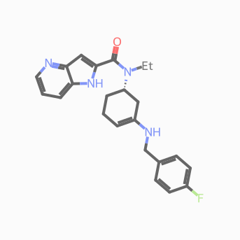 CCN(C(=O)c1cc2ncccc2[nH]1)[C@H]1CCC=C(NCc2ccc(F)cc2)C1